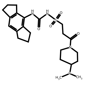 CN(C)C1CCN(C(=O)CCS(=O)(=O)NC(=O)Nc2c3c(cc4c2CCC4)CCC3)CC1